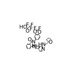 O=C(Nc1ccc2c(c1)OC(F)(F)O2)c1ccccc1NCc1ccnc(NCC2CCCO2)c1.O=C(O)C(F)(F)F